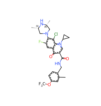 Cc1cc(OC(F)(F)F)ccc1CNC(=O)c1cn(C2CC2)c2c(Cl)c(N3C[C@@H](C)N[C@@H](C)C3)c(F)cc2c1=O